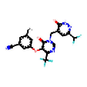 Cc1cc(C#N)cc(Oc2c(C(F)(F)F)ncn(Cc3cc(C(F)F)n[nH]c3=O)c2=O)c1